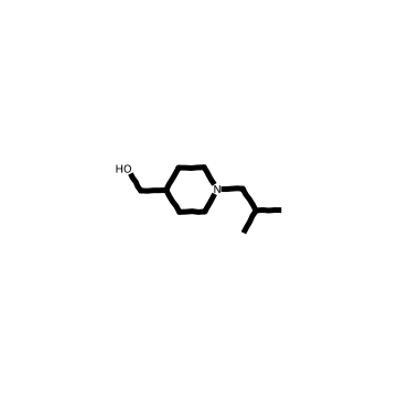 CC(C)CN1CCC(CO)CC1